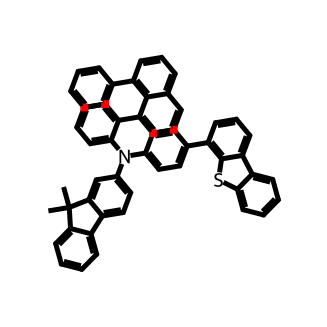 CC1(C)c2ccccc2-c2ccc(N(c3ccc(-c4cccc5c4sc4ccccc45)cc3)c3ccccc3-c3cccc4cccc(-c5ccccc5)c34)cc21